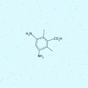 Cc1c(N)cc(N)c(C)c1C(=O)O